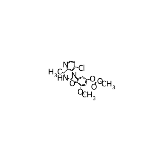 COC(=O)Oc1cc(OC)c2oc(NC(C)c3cc(Cl)ccn3)nc2c1